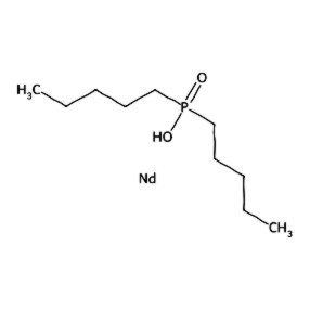 CCCCCP(=O)(O)CCCCC.[Nd]